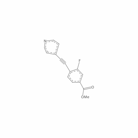 COC(=O)c1ccc(C#Cc2ccncc2)c(F)c1